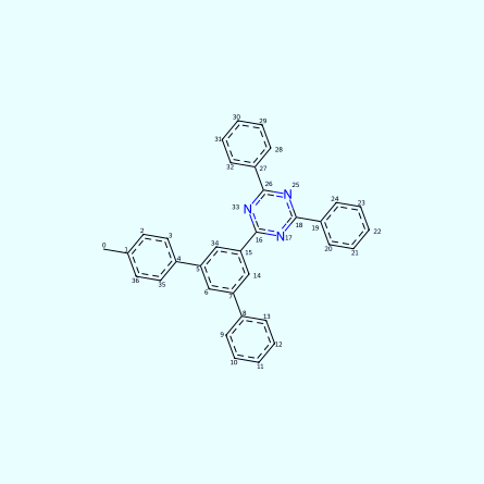 Cc1ccc(-c2cc(-c3ccccc3)cc(-c3nc(-c4ccccc4)nc(-c4ccccc4)n3)c2)cc1